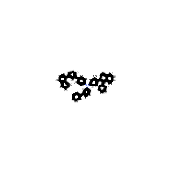 c1ccc(-c2cccc(N(c3ccc(-c4cccc(-c5cccc6ccccc56)c4)cc3)c3ccc(-c4ccc5ccccc5c4-c4ccccc4)cc3)c2)cc1